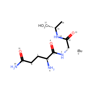 CC[C@H](C)[C@H](NC(=O)[C@@H](N)CCC(N)=O)C(=O)N[C@@H](C)C(=O)O